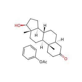 CC(=O)Oc1ccccc1.C[C@]12CCC(=O)C[C@@H]1CC[C@@H]1[C@@H]2CC[C@]2(C)[C@@H](O)CC[C@@H]12